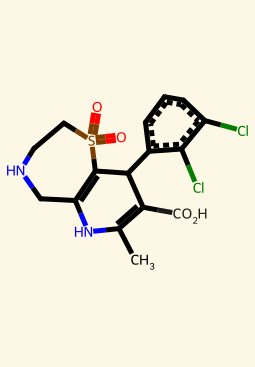 CC1=C(C(=O)O)C(c2cccc(Cl)c2Cl)C2=C(CNCCS2(=O)=O)N1